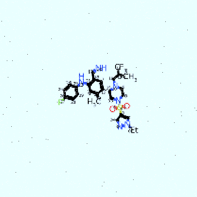 CCn1cc(S(=O)(=O)N2CCN(CC(C)C(F)(F)F)[C@@H](c3cc(C=N)c(Nc4ccc(F)cc4)cc3C)C2)cn1